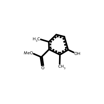 COC(=O)c1c(C)ccc(O)c1C